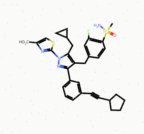 C[SH](N)(=O)c1ccc(Cc2c(-c3cccc(C#CC4CCCC4)c3)nn(-c3nc(C(=O)O)cs3)c2CC2CC2)cc1F